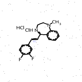 CN1CCN=C(/C=C/c2ccc(F)c(F)c2)c2ccccc21.Cl.Cl